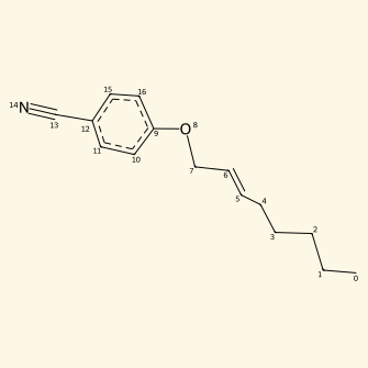 CCCCC/C=C/COc1ccc(C#N)cc1